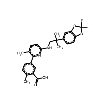 Cc1ccc(-c2nc(NCC(C)(C)c3ccc4c(c3)OC(F)(F)O4)ccc2C)cc1C(=O)O